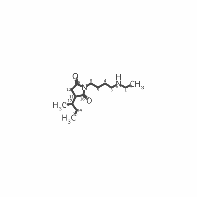 CCNCCCCN1C(=O)CC(C(C)CC)C1=O